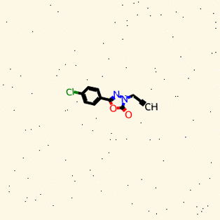 C#CCn1nc(-c2ccc(Cl)cc2)oc1=O